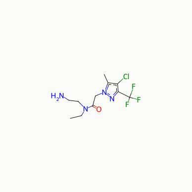 CCN(CCN)C(=O)Cn1nc(C(F)(F)F)c(Cl)c1C